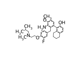 COc1ccc(-c2c(O)ccc3c2CCCC3)c(Cc2ccc(OCCN(C)CC(C)C)c(F)c2)c1N